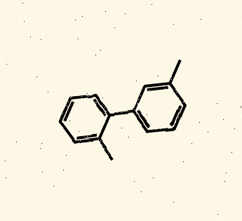 Cc1cccc(-c2ccccc2C)c1